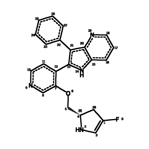 FC1=CN[C@H](COc2cnccc2-c2[nH]c3cccnc3c2-c2ccccc2)C1